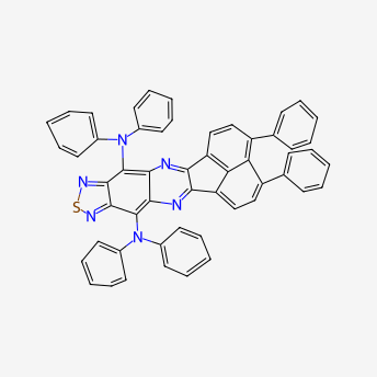 c1ccc(-c2ccc3c4c(ccc(-c5ccccc5)c24)-c2nc4c(N(c5ccccc5)c5ccccc5)c5nsnc5c(N(c5ccccc5)c5ccccc5)c4nc2-3)cc1